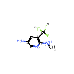 CNc1ncc(N)cc1C(F)(F)F